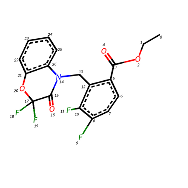 CCOC(=O)c1ccc(F)c(F)c1CN1C(=O)C(F)(F)Oc2ccccc21